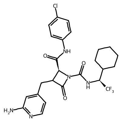 Nc1cc(CC2C(=O)N(C(=O)N[C@@H](C3CCCCC3)C(F)(F)F)[C@@H]2C(=O)Nc2ccc(Cl)cc2)ccn1